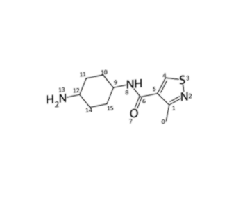 Cc1nscc1C(=O)NC1CCC(N)CC1